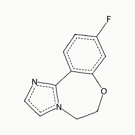 Fc1ccc2c(c1)OCCn1ccnc1-2